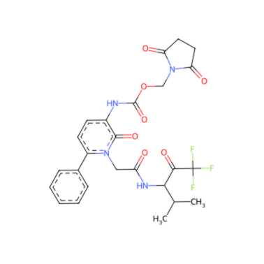 CC(C)C(NC(=O)Cn1c(-c2ccccc2)ccc(NC(=O)OCN2C(=O)CCC2=O)c1=O)C(=O)C(F)(F)F